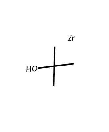 CC(C)(C)O.[Zr]